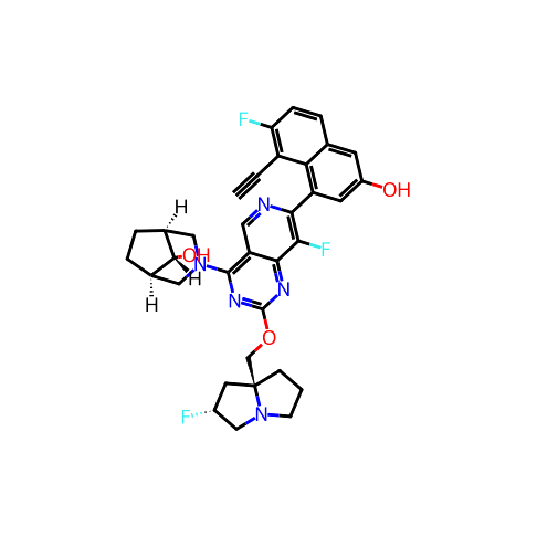 C#Cc1c(F)ccc2cc(O)cc(-c3ncc4c(N5C[C@H]6CC[C@@H](C5)[C@@H]6O)nc(OC[C@@]56CCCN5C[C@H](F)C6)nc4c3F)c12